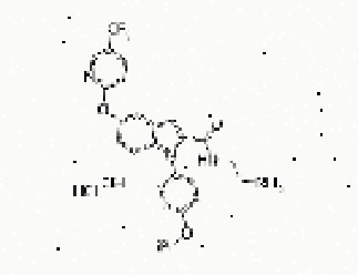 CC(C)Oc1ccc(-n2c(C(=O)NCCN)cc3cc(Oc4ccc(C(F)(F)F)cn4)ccc32)cc1.Cl.Cl